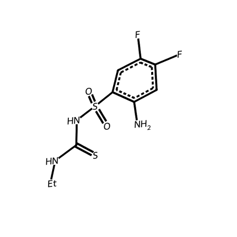 CCNC(=S)NS(=O)(=O)c1cc(F)c(F)cc1N